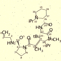 C=CCNC(=O)[C@@H]1CCCN1C(=O)/C(C)=C/C(C(C)C)N(C)C(=O)[C@@H](NC(=O)[C@H]1CCCCN1C(C)C)C(C)(C)C